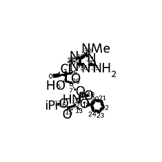 C#C[C@@]1(Cl)[C@H](O)[C@@H](CO[P@@](=O)(N[C@@H](C)C(=O)OC(C)C)Oc2ccccc2)O[C@H]1n1cnc2c(NC)nc(N)nc21